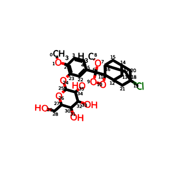 COc1ccc(C2(OC)OOC23C2CC4CC3CC(Cl)(C4)C2)cc1OC1OC(CO)C(O)C(O)C1O